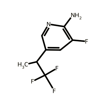 CC(c1cnc(N)c(F)c1)C(F)(F)F